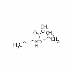 CCCCN[C@@H](CC(C)C)C(=O)OC